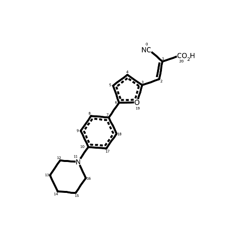 N#C/C(=C\c1ccc(-c2ccc(N3CCCCC3)cc2)o1)C(=O)O